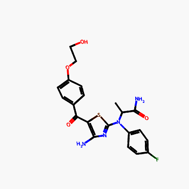 CC(C(N)=O)N(c1ccc(F)cc1)c1nc(N)c(C(=O)c2ccc(OCCO)cc2)s1